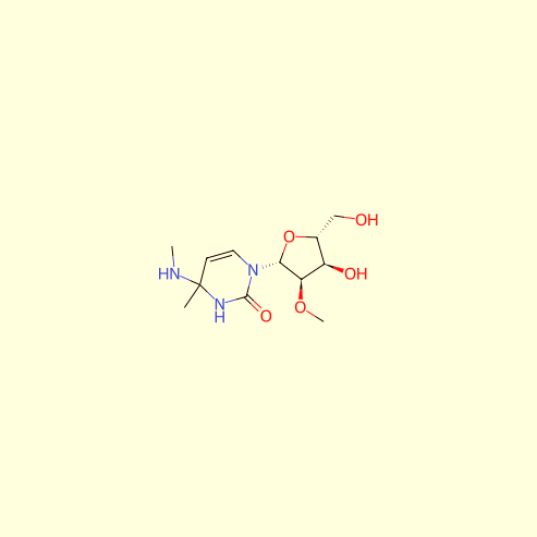 CNC1(C)C=CN([C@@H]2O[C@H](CO)[C@@H](O)[C@H]2OC)C(=O)N1